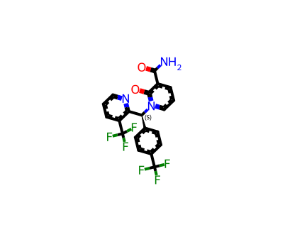 NC(=O)c1cccn([C@@H](c2ccc(C(F)(F)F)cc2)c2ncccc2C(F)(F)F)c1=O